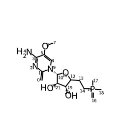 C=C1N=C(N)C(OC)=CN1[C@@H]1OC(CCP(=C)(C)C)[C@@H](O)[C@H]1O